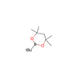 CC1(C)CC(C)(C)OB(C(C)(C)C)O1